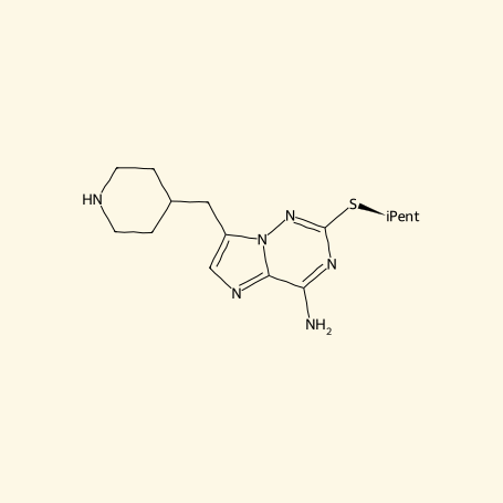 CCC[C@H](C)Sc1nc(N)c2ncc(CC3CCNCC3)n2n1